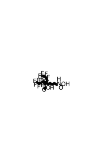 O=C(O)NCCCCCC(CC(F)(F)C(F)C(F)(F)F)(CC(F)(F)C(F)C(F)(F)F)NC(=O)O